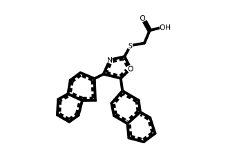 O=C(O)CSc1nc(-c2ccc3ccccc3c2)c(-c2ccc3ccccc3c2)o1